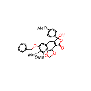 COc1ccc(C2(O)OC(=O)C(C3=COCO3)=C2Cc2cc(OC)c(OC)c(OCc3ccccc3)c2)cc1